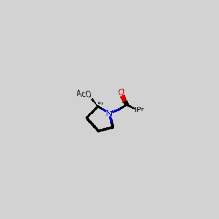 CC(=O)O[C@@H]1CCCN1C(=O)C(C)C